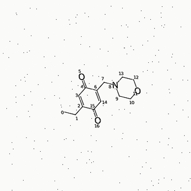 CCC1=CC(=O)C(CN2CCOCC2)=CC1=O